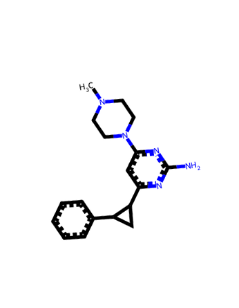 CN1CCN(c2cc(C3CC3c3ccccc3)nc(N)n2)CC1